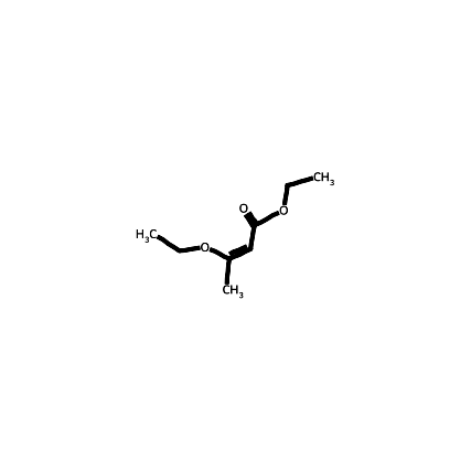 CCOC(=O)/C=C(/C)OCC